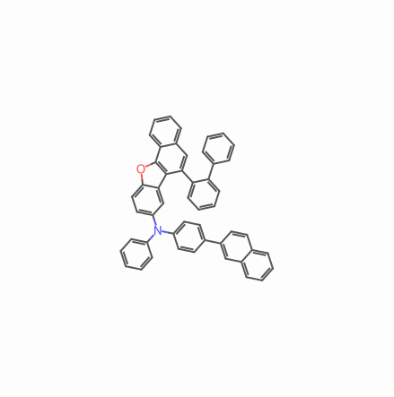 c1ccc(-c2ccccc2-c2cc3ccccc3c3oc4ccc(N(c5ccccc5)c5ccc(-c6ccc7ccccc7c6)cc5)cc4c23)cc1